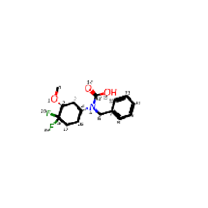 CO[C@@H]1C[C@H](N(Cc2ccccc2)C(=O)O)CCC1(F)F